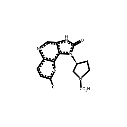 O=C(O)N1CC[C@H](n2c(=O)[nH]c3cnc4ccc(Cl)nc4c32)C1